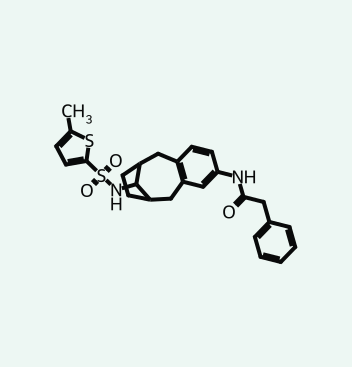 Cc1ccc(S(=O)(=O)NC2C3CCC2Cc2cc(NC(=O)Cc4ccccc4)ccc2C3)s1